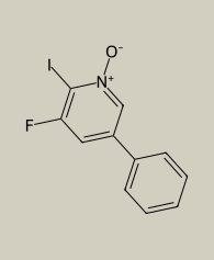 [O-][n+]1cc(-c2ccccc2)cc(F)c1I